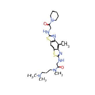 Cc1c2nc(NCC(=O)N(C)CCCN(C)C)sc2cc2sc(NCC(=O)N3CCCCC3)nc12